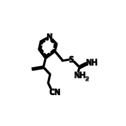 C=C(CCC#N)c1ccncc1CSC(=N)N